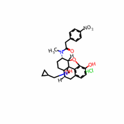 CN(C(=O)Cc1ccc([N+](=O)[O-])cc1)[C@H]1CC[C@@]2(O)[C@H]3Cc4ccc(O)c5c4[C@@]2(CCN3CC2CC2)[C@H]1O5.Cl